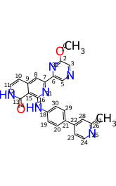 COc1cncc(-c2cc3cc[nH]c(=O)c3c(Nc3ccc(-c4ccnc(C)c4)cc3)n2)n1